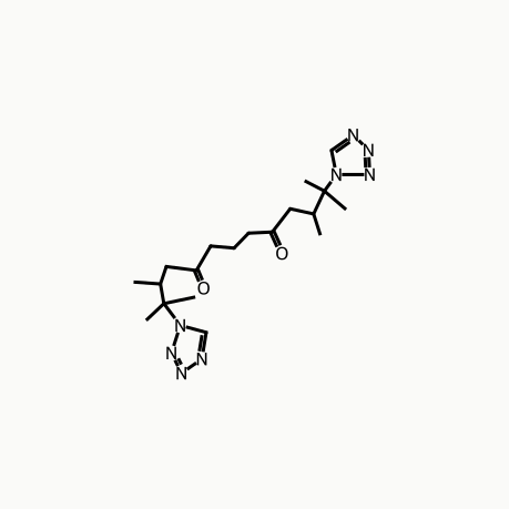 CC(CC(=O)CCCC(=O)CC(C)C(C)(C)n1cnnn1)C(C)(C)n1cnnn1